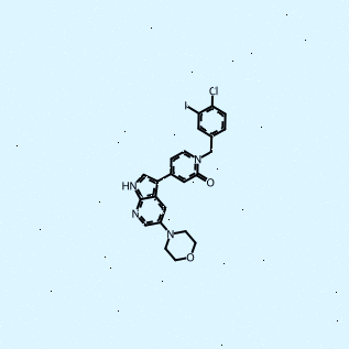 O=c1cc(-c2c[nH]c3ncc(N4CCOCC4)cc23)ccn1Cc1ccc(Cl)c(I)c1